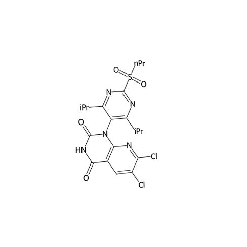 CCCS(=O)(=O)c1nc(C(C)C)c(-n2c(=O)[nH]c(=O)c3cc(Cl)c(Cl)nc32)c(C(C)C)n1